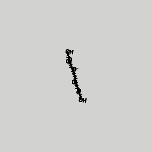 O=C(CSCSCC[S+]([O-])CSCSCSCSC(=O)CSCSCCOOCCSCCO)OCCSCCO